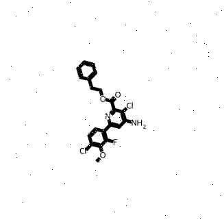 COc1c(Cl)ccc(-c2cc(N)c(Cl)c(C(=O)OCCc3ccccc3)n2)c1F